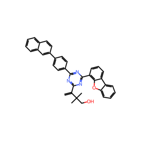 C=C(c1nc(-c2ccc(-c3ccc4ccccc4c3)cc2)nc(-c2cccc3c2oc2ccccc23)n1)C(C)(C)CO